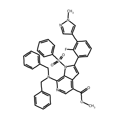 COC(=O)c1cnc(N(Cc2ccccc2)Cc2ccccc2)c2c1cc(-c1cccc(-c3cnn(C)c3)c1F)n2S(=O)(=O)c1ccccc1